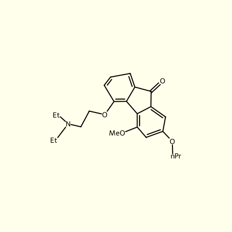 CCCOc1cc(OC)c2c(c1)C(=O)c1cccc(OCCN(CC)CC)c1-2